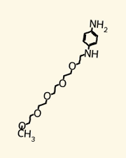 COCCOCCOCCOCCOCCNc1ccc(N)cc1